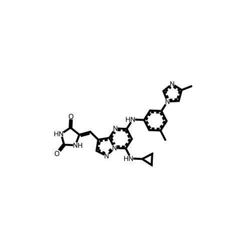 Cc1cc(Nc2cc(NC3CC3)n3ncc(/C=C4\NC(=O)NC4=O)c3n2)cc(-n2cnc(C)c2)c1